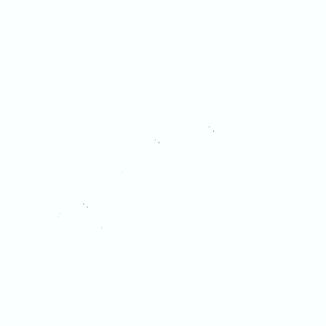 CC(C)Oc1ccccc1N1CCN(CC(=O)CN2C(=O)c3ccccc3C2=O)CC1.Cl